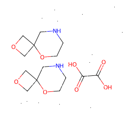 C1COC2(CN1)COC2.C1COC2(CN1)COC2.O=C(O)C(=O)O